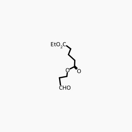 CCOC(=O)CCCC(=O)OCCC=O